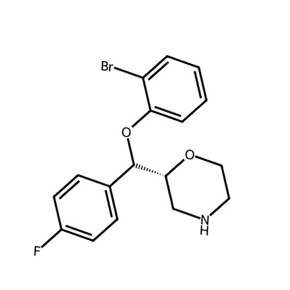 Fc1ccc(C(Oc2ccccc2Br)[C@H]2CNCCO2)cc1